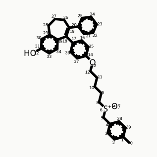 Cc1ccc(C[S@@+]([O-])CCCCCOc2ccc(C3=C(c4ccccc4)CCCc4cc(O)ccc43)cc2)cc1